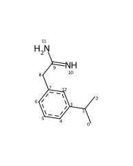 CC(C)c1cccc(CC(=N)N)c1